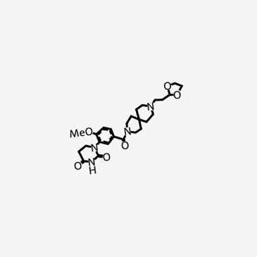 COc1ccc(C(=O)N2CCC3(CCN(CCC4OCCO4)CC3)CC2)cc1N1CCC(=O)NC1=O